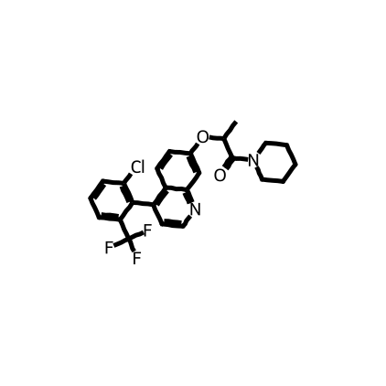 CC(Oc1ccc2c(-c3c(Cl)cccc3C(F)(F)F)ccnc2c1)C(=O)N1CCCCC1